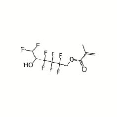 C=C(C)C(=O)OCC(F)(F)C(F)(F)C(F)(F)C(O)C(F)F